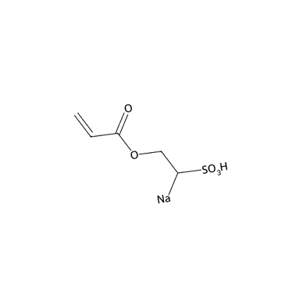 C=CC(=O)OC[CH]([Na])S(=O)(=O)O